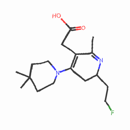 CC1=NC(CCF)CC(N2CCC(C)(C)CC2)=C1CC(=O)O